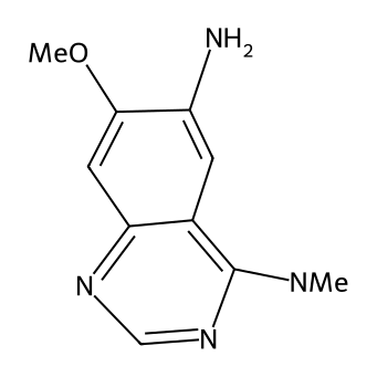 CNc1ncnc2cc(OC)c(N)cc12